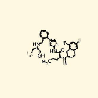 CCCC(N[C@H]1CCc2cc(F)cc(F)c2C1)C(=O)Nc1cn(-c2ccccc2CN[C@H](CC)CO)cn1